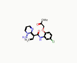 C=C/C(C(=O)Nc1cc(Cl)ccc1OCC(=O)OC)=C1/N=CC=CN1N